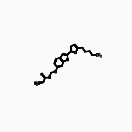 C=CC(=O)OCOc1ccc2cc(-c3ccc(CCCCC)o3)oc2c1